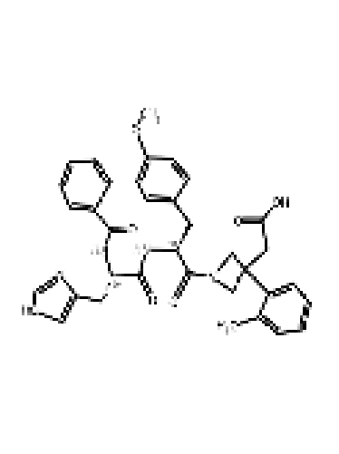 COc1ccc(C[C@H](NC(=O)[C@H](Cc2c[nH]cn2)NC(=O)c2ccccc2)C(=O)N2CC(CC(=O)O)(c3ccccc3C)C2)cc1